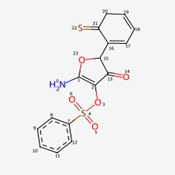 NC1=C(OS(=O)(=O)c2ccccc2)C(=O)C(C2=CC=CCC2=S)O1